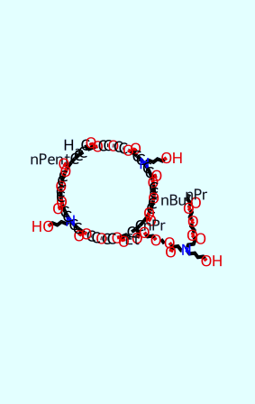 CCCCCC1CCCC(C)C(=O)OCCOCCOC(=O)CCN(CCCCO)CCC(=O)OCCOCCOC(=O)C(CCC)CC(C(=O)OCCOCCOC(=O)CCN(CCCCO)CCC(=O)OCCOCCOC(=O)C(CCC)CCCC)CC(CC)C(=O)OCCOCCOC(=O)CCN(CCCCO)CCC(=O)OCCOCCOC1=O